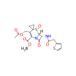 BOC(=O)C1=C(COC(C)=O)C2(CC2)[S+]([O-])[C@@H]2[C@H](NC(=O)Cc3cccs3)C(=O)N12